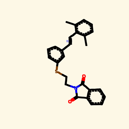 Cc1cccc(C)c1/C=C/c1cccc(SCCN2C(=O)c3ccccc3C2=O)c1